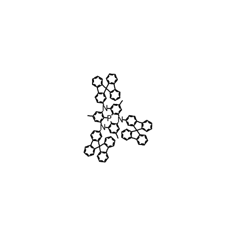 Cc1cc2c3c(c1)N(c1ccc4c(c1)C1(c5ccccc5-c5ccccc51)c1ccccc1-4)c1cc(C)cc4c1P3c1c(cc(C)cc1N4c1ccc3c(c1)C1(c4ccccc4-c4ccccc41)c1ccccc1-3)N2c1ccc2c(c1)C1(c3ccccc3-c3ccccc31)c1ccccc1-2